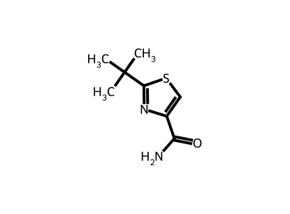 CC(C)(C)c1nc(C(N)=O)cs1